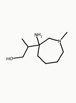 CC(CO)C1(N)CCCCN(C)C1